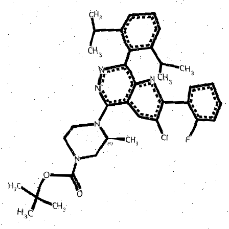 CC(C)c1cccc(C(C)C)c1-c1nnc(N2CCN(C(=O)OC(C)(C)C)C[C@@H]2C)c2cc(Cl)c(-c3ccccc3F)nc12